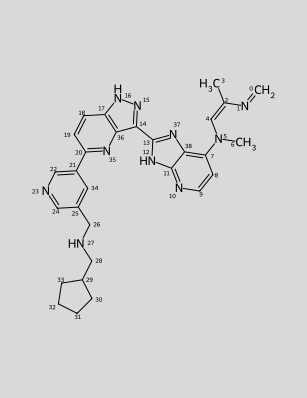 C=N/C(C)=C\N(C)c1ccnc2[nH]c(-c3n[nH]c4ccc(-c5cncc(CNCC6CCCC6)c5)nc34)nc12